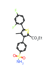 CCOC(=O)c1sc(-c2ccc(F)cc2F)c(C)c1-c1ccc(S(N)(=O)=O)cc1